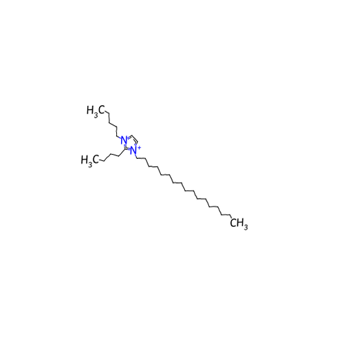 CCCCCCCCCCCCCCCCC[n+]1ccn(CCCCC)c1CCCC